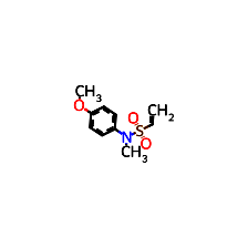 C=CS(=O)(=O)N(C)c1ccc(OC)cc1